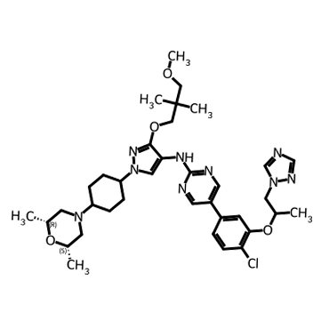 COCC(C)(C)COc1nn(C2CCC(N3C[C@@H](C)O[C@@H](C)C3)CC2)cc1Nc1ncc(-c2ccc(Cl)c(OC(C)Cn3cncn3)c2)cn1